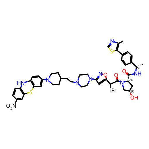 Cc1ncsc1-c1ccc([C@H](C)NC(=O)[C@@H]2C[C@@H](O)CN2C(=O)C(c2cc(N3CCN(CCC4CCN(c5ccc6c(c5)Sc5cc([N+](=O)[O-])ccc5N6)CC4)CC3)no2)C(C)C)cc1